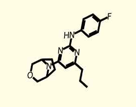 CCCc1cc(N2C3CCC2COC3)nc(Nc2ccc(F)cc2)n1